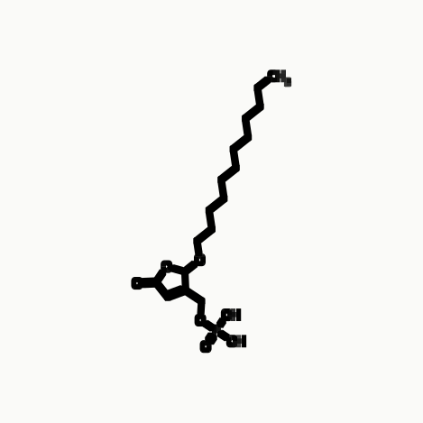 CCCCCCCCCCCCOC1OC(=O)C=C1COP(=O)(O)O